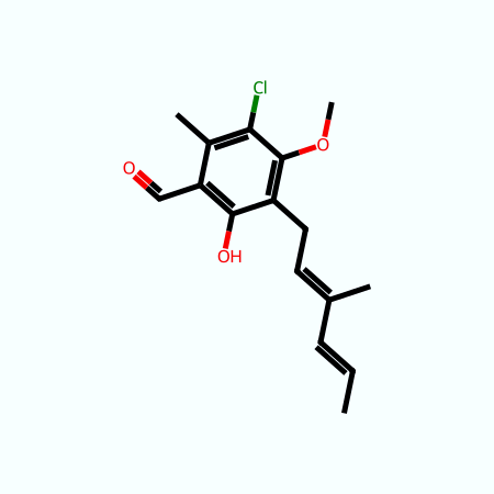 C/C=C/C(C)=C/Cc1c(O)c(C=O)c(C)c(Cl)c1OC